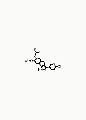 COc1cc2c(cc1OC(F)F)Cc1c(-c3ccc(Cl)nc3)n[nH]c1-2